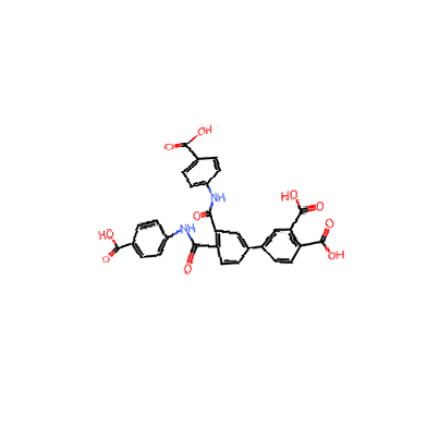 O=C(O)c1ccc(NC(=O)c2ccc(-c3ccc(C(=O)O)c(C(=O)O)c3)cc2C(=O)Nc2ccc(C(=O)O)cc2)cc1